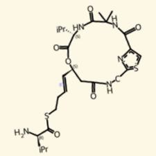 CC(C)[C@@H]1NC(=O)C(C)(C)NC(=O)c2csc(n2)CNC(=O)C[C@@H](/C=C/CCSC(=O)[C@H](N)C(C)C)OC1=O